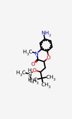 CN1C(=O)C(CC(O[SiH](C)C)C(C)(C)C)Oc2ccc(N)cc21